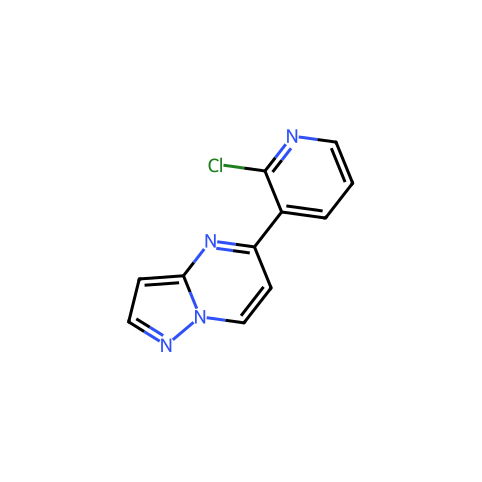 Clc1ncccc1-c1ccn2nccc2n1